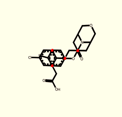 O=C(O)Cc1cc(Cl)ccc1OCC(=O)N1C2COCC1CC(Oc1ccc(F)cc1)C2